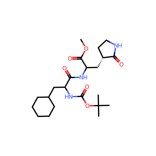 COC(=O)C(C[C@@H]1CCNC1=O)NC(=O)C(CC1CCCCC1)NC(=O)OC(C)(C)C